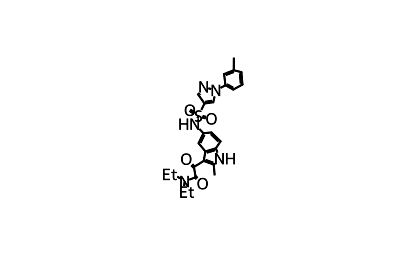 CCN(CC)C(=O)C(=O)c1c(C)[nH]c2ccc(NS(=O)(=O)c3cnn(-c4cccc(C)c4)c3)cc12